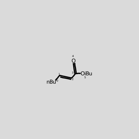 CCCCC=CC(=O)OCC(C)C